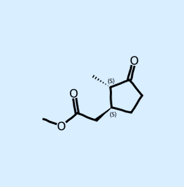 COC(=O)C[C@@H]1CCC(=O)[C@H]1C